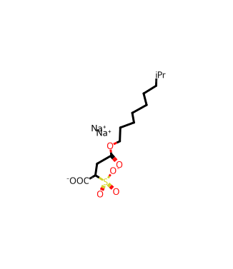 CC(C)CCCCCCCOC(=O)CC(C(=O)[O-])S(=O)(=O)[O-].[Na+].[Na+]